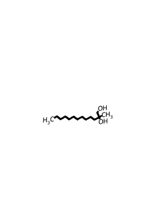 CCCCCCCCCCCC(C)(O)CO